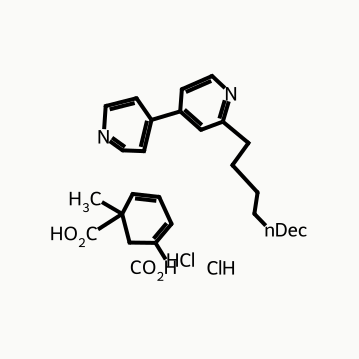 CC1(C(=O)O)C=CC=C(C(=O)O)C1.CCCCCCCCCCCCCCc1cc(-c2ccncc2)ccn1.Cl.Cl